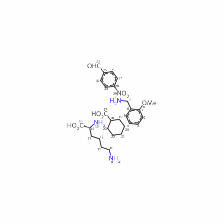 COc1ccccc1CN.NCCCC[C@H](N)C(=O)O.O=C(O)C1CCCCC1.O=Cc1ccc([N+](=O)[O-])cc1